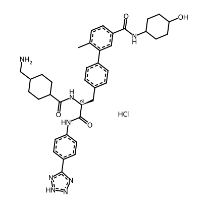 Cc1ccc(C(=O)NC2CCC(O)CC2)cc1-c1ccc(C[C@H](NC(=O)C2CCC(CN)CC2)C(=O)Nc2ccc(-c3nn[nH]n3)cc2)cc1.Cl